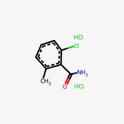 Cc1cccc(Cl)c1C(N)=O.Cl.Cl